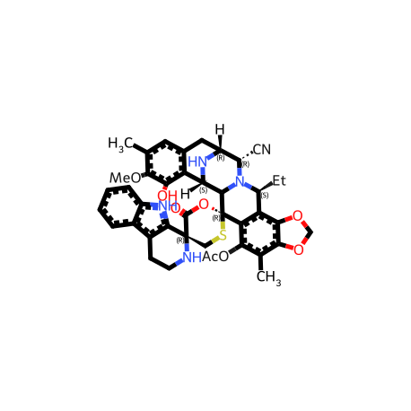 CC[C@H]1c2c3c(c(C)c(OC(C)=O)c2[C@]2(OC(=O)[C@]4(CS2)NCCc2c4[nH]c4ccccc24)C2[C@H]4N[C@H](Cc5cc(C)c(OC)c(O)c54)[C@H](C#N)N21)OCO3